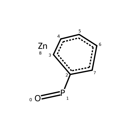 O=Pc1ccccc1.[Zn]